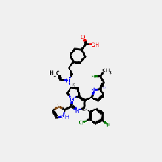 C=CN(CCC1CCC(C(=O)O)CC1)[C@H]1CC2=C(C3=N/C(=C\C(C)F)C=C3)[C@H](c3ccc(F)cc3Cl)N=C(C3NC=CS3)N2C1